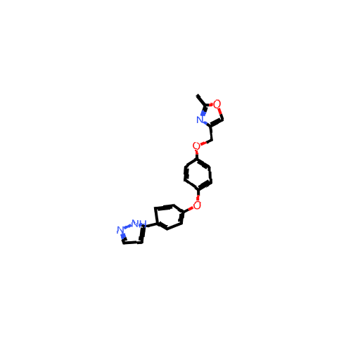 Cc1nc(COc2ccc(Oc3ccc(-c4ccn[nH]4)cc3)cc2)co1